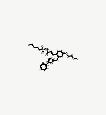 CCCCCS(=O)(=O)NC(=O)/C=C/c1ccc(OCCOC)cc1Cc1ncc(-c2ccccc2)s1